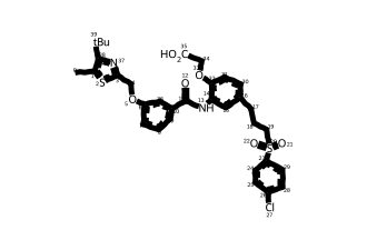 Cc1sc(COc2cccc(C(=O)Nc3cc(CCCS(=O)(=O)c4ccc(Cl)cc4)ccc3OCC(=O)O)c2)nc1C(C)(C)C